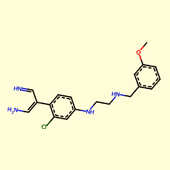 COc1cccc(CNCCNc2ccc(/C(C=N)=C/N)c(Cl)c2)c1